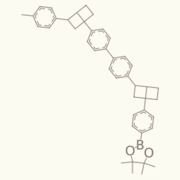 Cc1ccc(C2CC3(c4ccc(-c5ccc(C6CC7(c8ccc(B9OC(C)(C)C(C)(C)O9)cc8)CCC67)cc5)cc4)CCC23)cc1